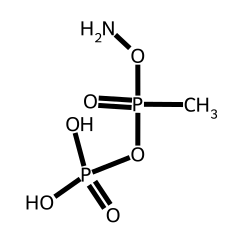 CP(=O)(ON)OP(=O)(O)O